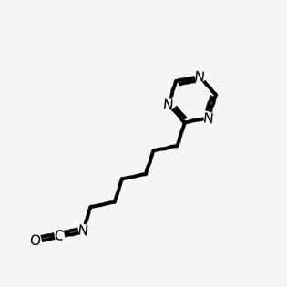 O=C=NCCCCCCc1ncncn1